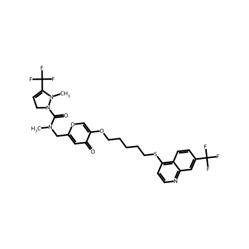 CN(Cc1cc(=O)c(OCCCCCSc2ccnc3cc(C(F)(F)F)ccc23)co1)C(=O)N1CC=C(C(F)(F)F)N1C